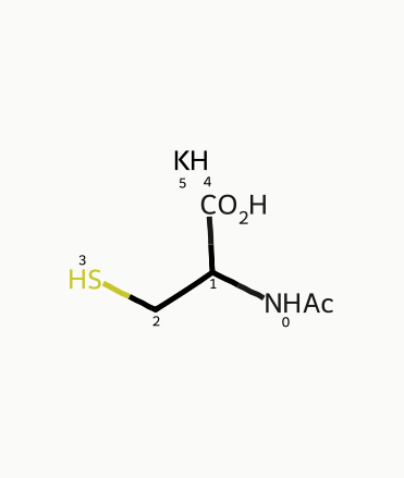 CC(=O)NC(CS)C(=O)O.[KH]